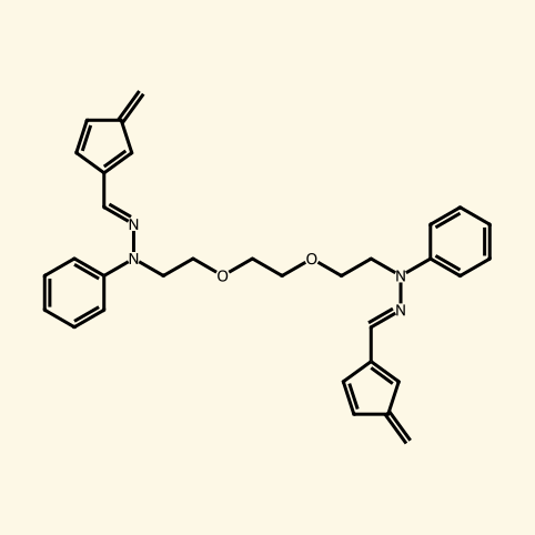 C=C1C=CC(/C=N/N(CCOCCOCCN(/N=C/C2=CC(=C)C=C2)c2ccccc2)c2ccccc2)=C1